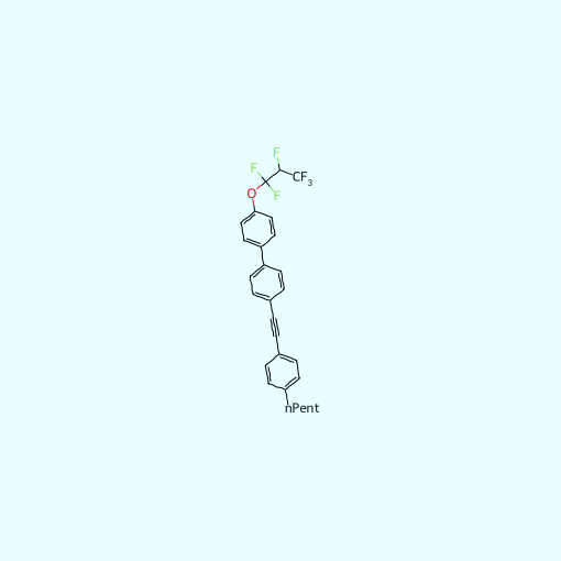 CCCCCc1ccc(C#Cc2ccc(-c3ccc(OC(F)(F)C(F)C(F)(F)F)cc3)cc2)cc1